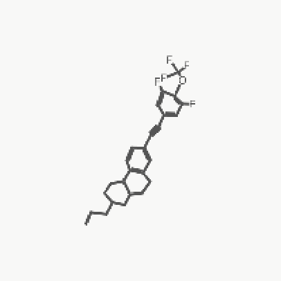 CCCC1CCC2c3ccc(C#Cc4cc(F)c(OC(F)(F)F)c(F)c4)cc3CCC2C1